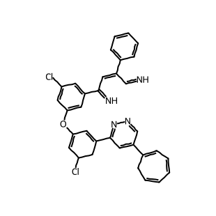 N=C/C(=C\C(=N)c1cc(Cl)cc(OC2=CC(Cl)CC(c3cc(C4=CC=CC=CC4)cnn3)=C2)c1)c1ccccc1